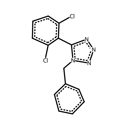 Clc1cccc(Cl)c1-c1nnnn1Cc1ccccc1